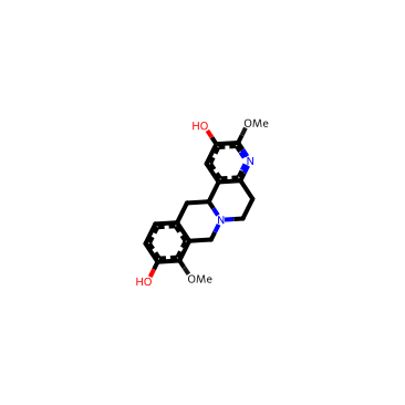 COc1nc2c(cc1O)C1Cc3ccc(O)c(OC)c3CN1CC2